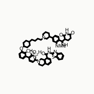 CNc1cc(C2CCCN(CCCCC3CCC(Oc4cccc(-c5ccc(N6CCc7cccc(C(=O)Nc8nc9ccccc9s8)c7C6)nc5C(=O)O)c4C)CC3)C2)ccc1C(=N)C1CCC(=O)NC1=O